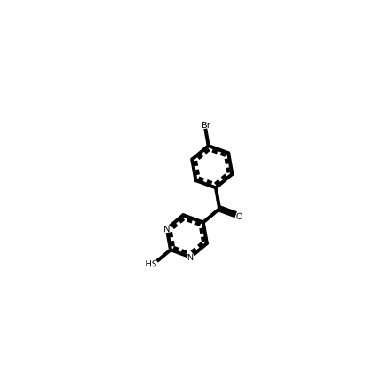 O=C(c1ccc(Br)cc1)c1cnc(S)nc1